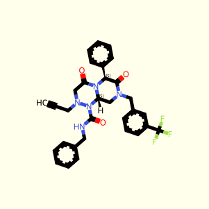 C#CCN1CC(=O)N2[C@@H](c3ccccc3)C(=O)N(Cc3cccc(C(F)(F)F)c3)C[C@@H]2N1C(=O)NCc1ccccc1